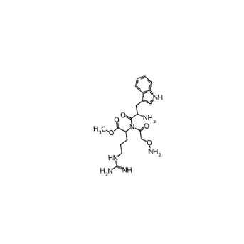 COC(=O)C(CCCNC(=N)N)N(C(=O)CON)C(=O)C(N)Cc1c[nH]c2ccccc12